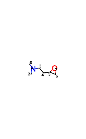 CN(C)CCC1CO1